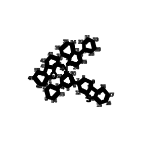 c1ccc(-c2cc(-c3ccc4c(c3)sc3ccccc34)cc(N(c3ccc(-c4ccccc4)c4ccccc34)c3cccc4c3oc3ccccc34)c2)cc1